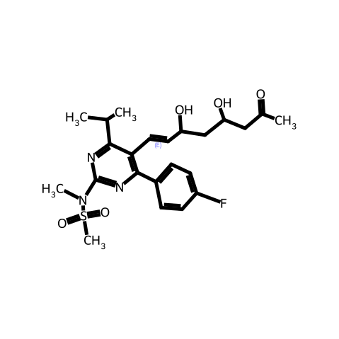 CC(=O)CC(O)CC(O)/C=C/c1c(-c2ccc(F)cc2)nc(N(C)S(C)(=O)=O)nc1C(C)C